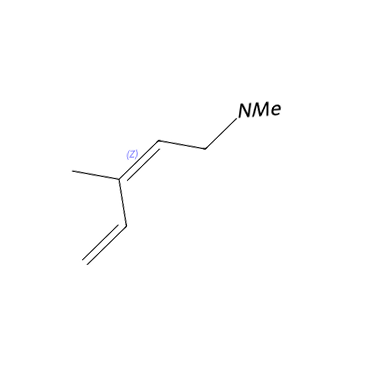 C=C/C(C)=C\CNC